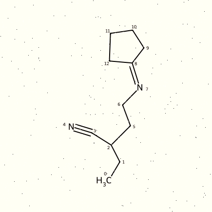 CCC(C#N)CCN=C1CCCC1